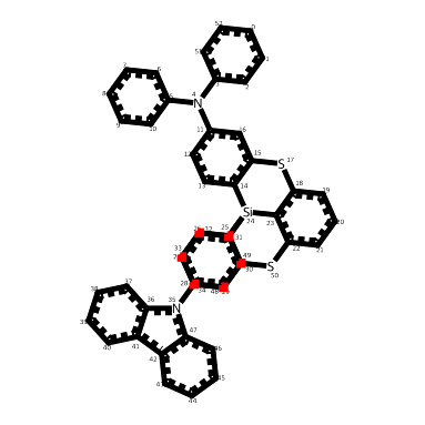 c1ccc(N(c2ccccc2)c2ccc3c(c2)Sc2cccc4c2[Si]3(c2ccccc2)c2ccc(-n3c5ccccc5c5ccccc53)cc2S4)cc1